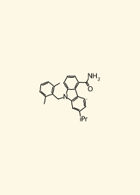 Cc1cccc(C)c1Cn1c2cc(C(C)C)c[c]c2c2c(C(N)=O)cccc21